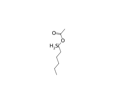 CCCCC[SiH2]OC(C)=O